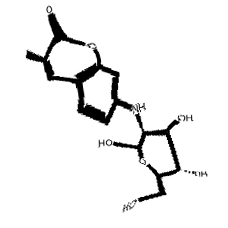 Cc1cc2ccc(N[C@@H]3C(O)OC(CO)[C@@H](O)C3O)cc2oc1=O